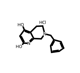 Cl.Oc1cc(O)c2c(n1)CN(Cc1ccccc1)CC2